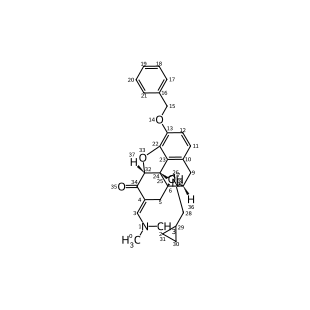 CN(C)/C=C1\C[C@@]2(O)[C@H]3Cc4ccc(OCc5ccccc5)c5c4[C@@]2(CCN3CC2CC2)[C@@H](O5)C1=O